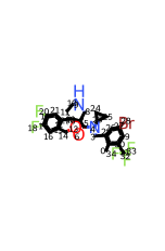 Cc1c(CN(C(=O)C2CNCC[C@@]23OCc2cc(F)c(F)cc23)C2CC2)cc(Br)cc1C(F)(F)F